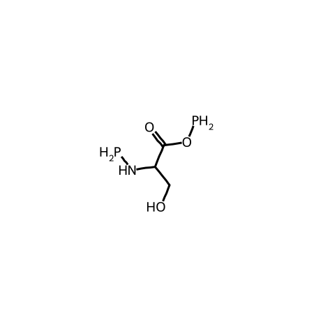 O=C(OP)C(CO)NP